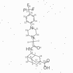 CC(C)(C(=O)NC1C2CC3CC1CC(C(=O)O)(C3)C2)N1CCN(c2ccc(C(F)(F)F)cc2)CC1